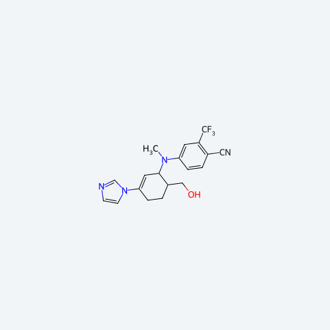 CN(c1ccc(C#N)c(C(F)(F)F)c1)C1C=C(n2ccnc2)CCC1CO